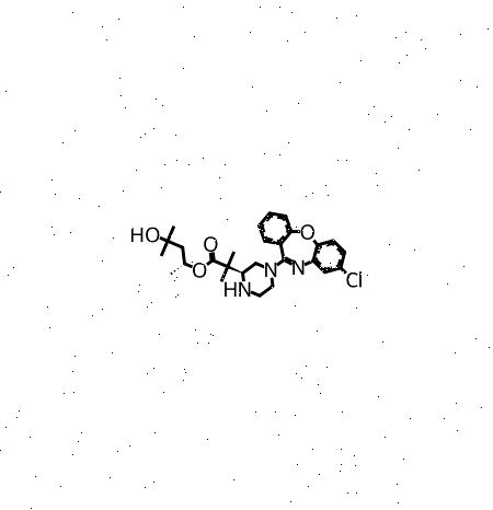 C[C@H](CC(C)(C)O)OC(=O)C(C)(C)[C@H]1CN(C2=Nc3cc(Cl)ccc3Oc3ccccc32)CCN1